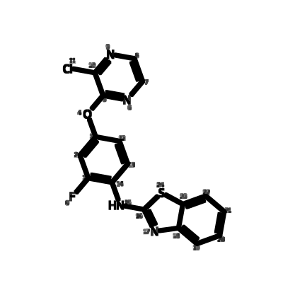 Fc1cc(Oc2nccnc2Cl)ccc1Nc1nc2ccccc2s1